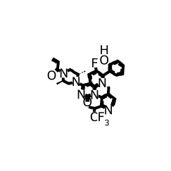 C=CC(=O)N1C[C@H](C)N(c2nc(=O)n(-c3c(C)ccnc3C(C)C(F)(F)F)c3nc(-c4ccccc4O)c(F)cc23)C[C@H]1C